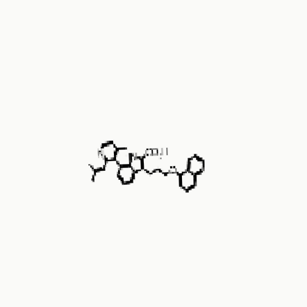 CC(C)=Cc1nccc(C)c1-c1cccc2c(CCCOc3cccc4ccccc34)c(C(=O)O)[nH]c12